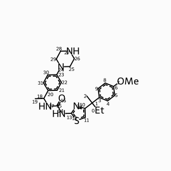 CCC(C)(c1ccc(OC)cc1)c1csc(NC(=O)NC(C)c2ccc(N3CCNCC3)cc2)n1